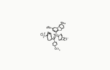 CC(C)(C)c1ccc2c(c1)-c1cc(C(C)(C)C)c[c]([Zr+2](=[C](c3ccc(C(Cl)(Cl)Cl)cc3)c3ccc(C(Cl)(Cl)Cl)cc3)[CH]3C=CC=C3)c1C2.[Cl-].[Cl-]